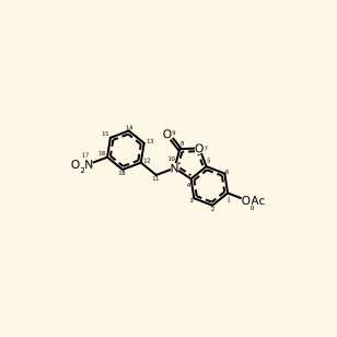 CC(=O)Oc1ccc2c(c1)oc(=O)n2Cc1cccc([N+](=O)[O-])c1